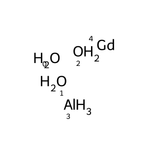 O.O.O.[AlH3].[Gd]